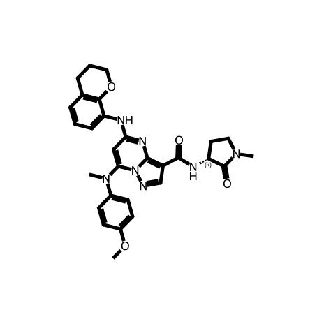 COc1ccc(N(C)c2cc(Nc3cccc4c3OCCC4)nc3c(C(=O)N[C@@H]4CCN(C)C4=O)cnn23)cc1